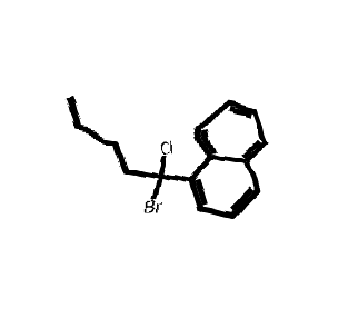 CCCCC(Cl)(Br)c1cccc2ccccc12